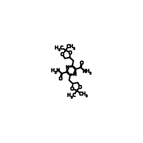 CC1(C)OCC(Cc2nc(C(N)=O)c(CC3COC(C)(C)O3)nc2C(N)=O)O1